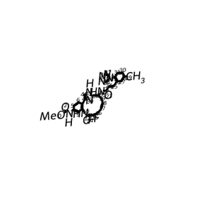 COC(=O)Nc1ccc2c(c1)NC(=O)C(F)(F)C/C=C\C[C@H](NC(=O)/C=C/c1cc(C)ccc1-n1cnnn1)c1nc-2c[nH]1